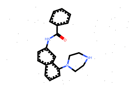 O=C(Nc1ccc2cccc(N3CCNCC3)c2c1)c1ccccc1